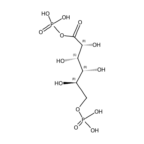 O=C(OP(=O)(O)O)[C@H](O)[C@@H](O)[C@H](O)[C@H](O)COP(=O)(O)O